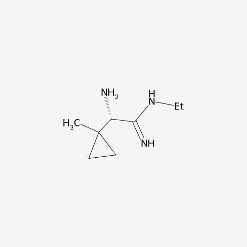 CCNC(=N)[C@@H](N)C1(C)CC1